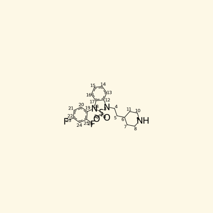 O=S1(=O)N(CCC2CCNCC2)c2ccccc2N1c1ccc(F)cc1F